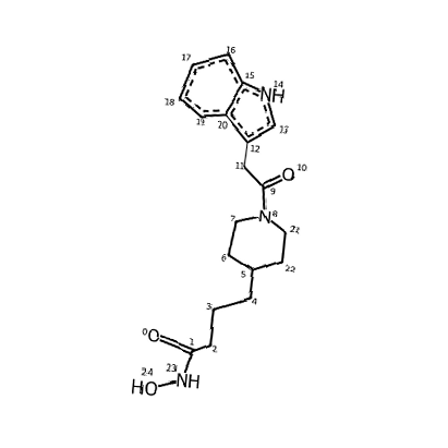 O=C(CCCC1CCN(C(=O)Cc2c[nH]c3ccccc23)CC1)NO